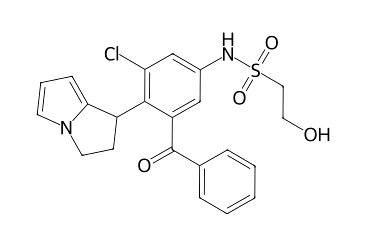 O=C(c1ccccc1)c1cc(NS(=O)(=O)CCO)cc(Cl)c1C1CCn2cccc21